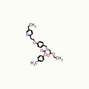 CCOC(=O)CN(Cc1ccc(OCCc2ccc(CC)cn2)cc1)C(=O)Oc1ccc(C)cc1